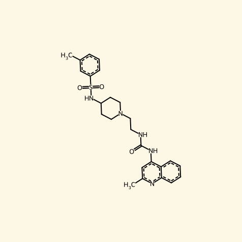 Cc1cccc(S(=O)(=O)NC2CCN(CCNC(=O)Nc3cc(C)nc4ccccc34)CC2)c1